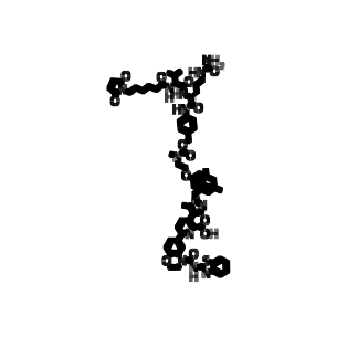 Cc1c(-c2ccc(-c3ccc4c(c3)N(C(=O)Nc3nc5ccccc5s3)CCO4)nc2C(=O)O)cnn1CC12CC3(C)CC(C)(C1)CC(OCCN(C)C(=O)OCc1ccc(NC(=O)[C@H](CCCNC(N)=O)NC(=O)[C@@H](NC(=O)CCCCCN4C(=O)C=CC4=O)C(C)C)cc1)(C3)C2